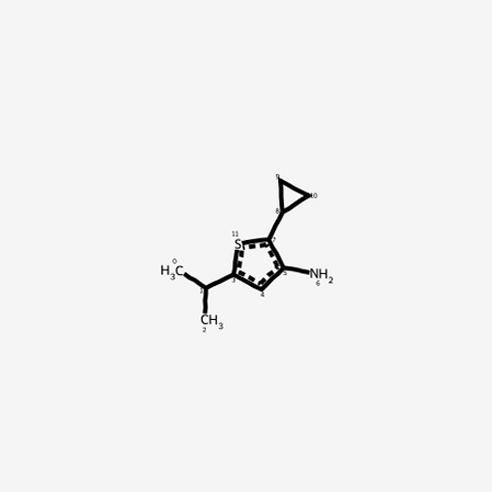 CC(C)c1cc(N)c(C2CC2)s1